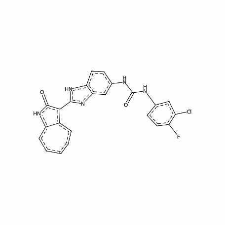 O=C(Nc1ccc(F)c(Cl)c1)Nc1ccc2[nH]c(-c3c4cccccc-4[nH]c3=O)nc2c1